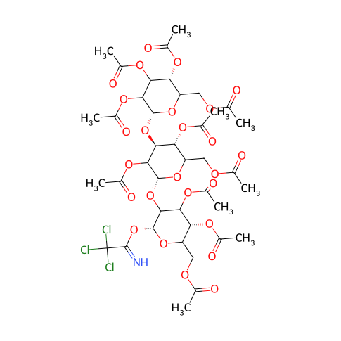 CC(=O)OCC1O[C@H](O[C@@H]2C(OC(C)=O)[C@@H](OC3C(OC(C)=O)[C@H](OC(C)=O)C(COC(C)=O)O[C@@H]3OC(=N)C(Cl)(Cl)Cl)OC(COC(C)=O)[C@H]2OC(C)=O)C(OC(C)=O)C(OC(C)=O)[C@@H]1OC(C)=O